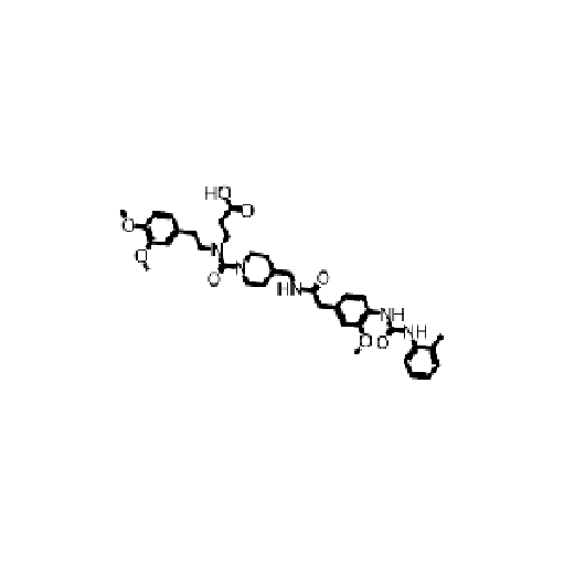 COc1cc(CC(=O)NCC2CCN(C(=O)N(CCC(=O)O)CCc3ccc(OC)c(OC)c3)CC2)ccc1NC(=O)Nc1ccccc1C